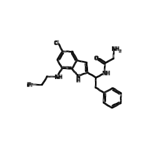 CC(C)CCNc1cc(Cl)cc2cc(C(Cc3ccccc3)NC(=O)CN)[nH]c12